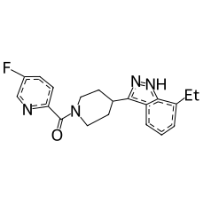 CCc1cccc2c(C3CCN(C(=O)c4ccc(F)cn4)CC3)n[nH]c12